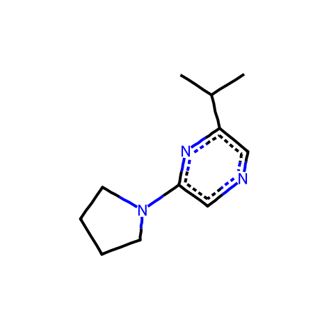 CC(C)c1cncc(N2CCCC2)n1